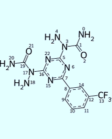 NC(=O)N(N)c1nc(-c2cccc(C(F)(F)F)c2)nc(N(N)C(N)=O)n1